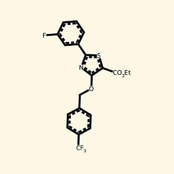 CCOC(=O)c1sc(-c2cccc(F)c2)nc1OCc1ccc(C(F)(F)F)cc1